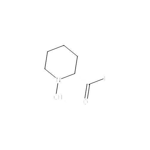 CN1CCCC[C@@H]1C(=O)I